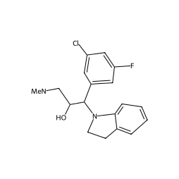 CNCC(O)C(c1cc(F)cc(Cl)c1)N1CCc2ccccc21